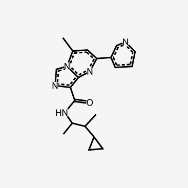 Cc1cc(-c2cccnc2)nc2c(C(=O)NC(C)C(C)C3CC3)ncn12